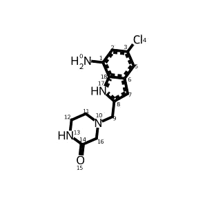 Nc1cc(Cl)cc2cc(CN3CCNC(=O)C3)[nH]c12